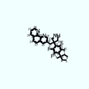 CCC(C)(CC)c1c(F)c(F)c(C(C=N)(CC)Cc2cnc3c(ccc4cccnc43)c2)c(F)c1F